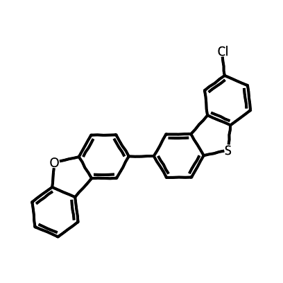 Clc1ccc2sc3ccc(-c4ccc5oc6ccccc6c5c4)cc3c2c1